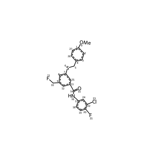 COc1ccc(CSc2cc(CF)cc(C(=O)Nc3ccc(F)c(Cl)c3)c2)cc1